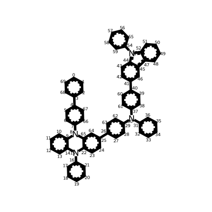 c1ccc(-c2ccc(N3c4ccccc4N(c4ccccc4)c4ccc(-c5ccc(N(c6ccccc6)c6ccc(-c7ccc8c(c7)c7ccccc7n8-c7ccccc7)cc6)cc5)cc43)cc2)cc1